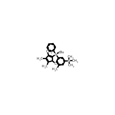 CC1=C(C)C(C)C([Si](c2ccccc2)(c2cc(C)cc([Si](C)(C)C)c2)C(C)(C)C)=C1C